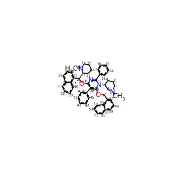 CN1CCCC[C@H]1C(Oc1nc(-c2ccccc2)nc(OC(c2cccc3ccccc23)[C@@H]2CCCCN2C)c1-c1ccccc1)c1cccc2ccccc12